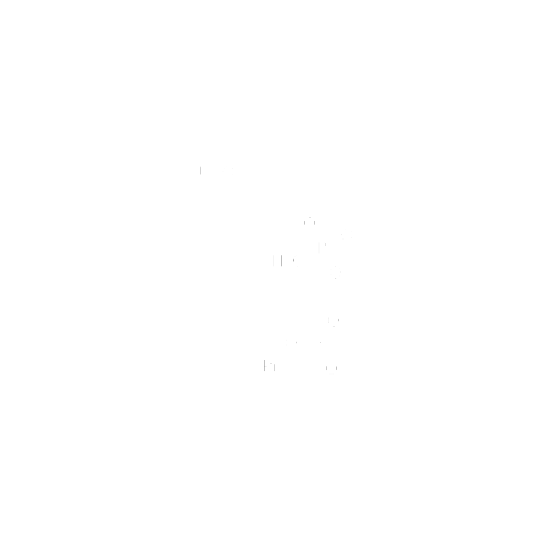 CCOCCCOP(C)(=O)OCOC(=O)OC(C)C